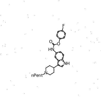 CCCCCN1CCC(c2c[nH]c3ccc(NC(=O)Oc4ccc(F)cc4)cc23)CC1